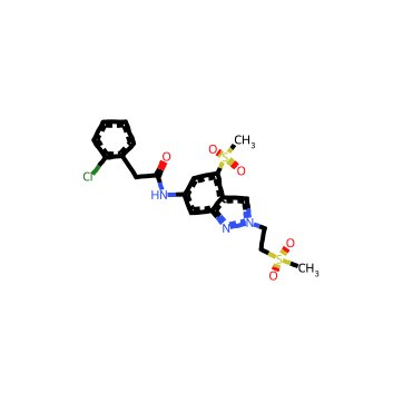 CS(=O)(=O)CCn1cc2c(S(C)(=O)=O)cc(NC(=O)Cc3ccccc3Cl)cc2n1